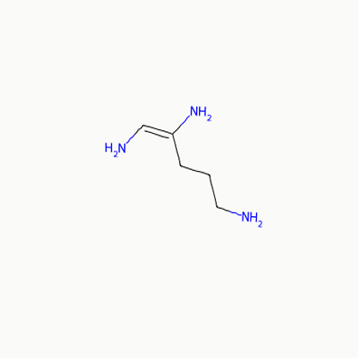 N/C=C(/N)CCCN